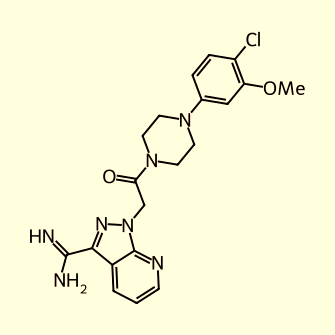 COc1cc(N2CCN(C(=O)Cn3nc(C(=N)N)c4cccnc43)CC2)ccc1Cl